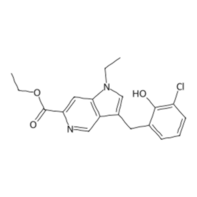 CCOC(=O)c1cc2c(cn1)c(Cc1cccc(Cl)c1O)cn2CC